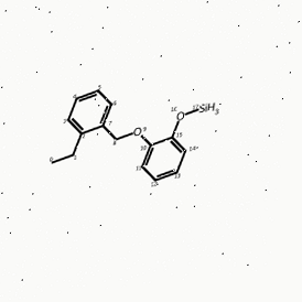 CCc1ccccc1COc1ccccc1O[SiH3]